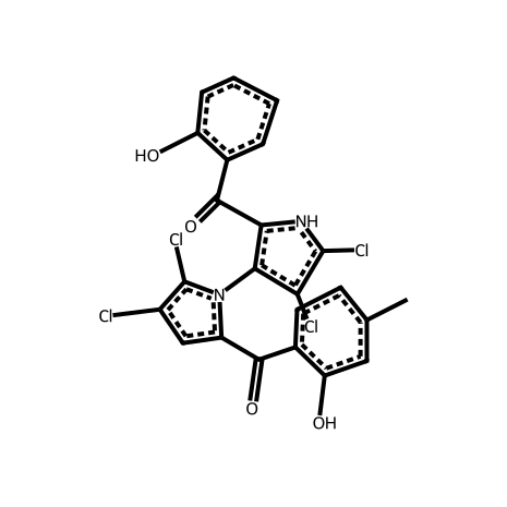 Cc1ccc(C(=O)c2cc(Cl)c(Cl)n2-c2c(C(=O)c3ccccc3O)[nH]c(Cl)c2Cl)c(O)c1